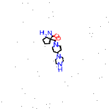 NC(=O)C1(C(=O)N2CCC(N3CCNCC3)CC2)CCCC1